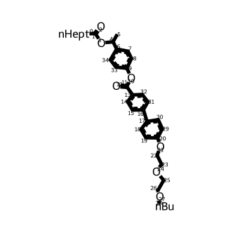 CCCCCCCC(=O)OC(C)c1ccc(OC(=O)c2ccc(-c3ccc(OCCOCCOCCCC)cc3)cc2)cc1